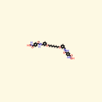 O=C(NO)c1ccc(C(=O)N/N=C/c2cccc(OCCCCCCCCCOc3cccc(/C=N/NC(=O)c4ccc(C(=O)NO)cc4)c3)c2)cc1